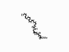 CC/C=C\C/C=C\C/C=C\C/C=C\C/C=C\C/C=C\CCC(=O)NCC1CC1CNC(=O)/C=C/C(=O)OC